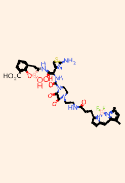 Cc1cc(C)n2c1C=C1C=CC(CCC(=O)NCCN3CCN(C(O)NC(C(=O)N[C@H]4Cc5cccc(C(=O)O)c5OB4O)c4csc(N)n4)C(=O)C3=O)=[N+]1[B-]2(F)F